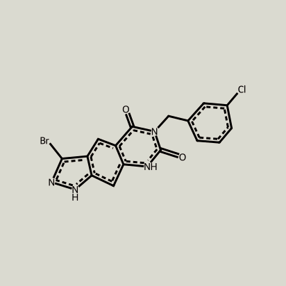 O=c1[nH]c2cc3[nH]nc(Br)c3cc2c(=O)n1Cc1cccc(Cl)c1